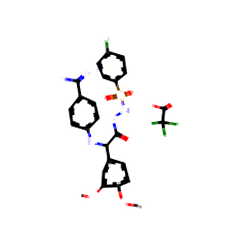 CCOc1cc(C(Nc2ccc(C(=N)N)cc2)C(=O)NNS(=O)(=O)c2ccc(Br)cc2)ccc1OC(C)C.O=C(O)C(F)(F)F